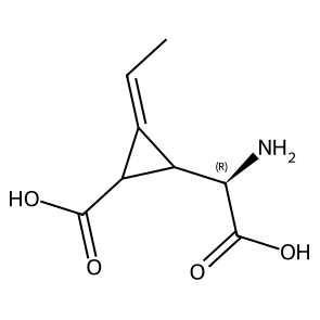 CC=C1C(C(=O)O)C1[C@@H](N)C(=O)O